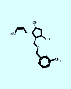 CCCC/C=C\C[C@H]1[C@H](COCc2cccc(C)c2)[C@H](O)C[C@H]1O